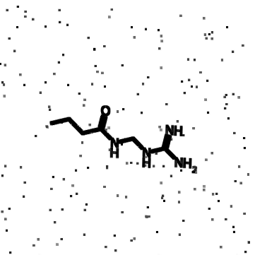 CCCC(=O)NCNC(=N)N